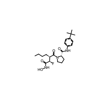 CCCC[C@@H](C(=O)N1CCC[C@H]1C(=O)Nc1ccc(C(C)(C)C)cc1)[C@@H](F)C(=O)NO